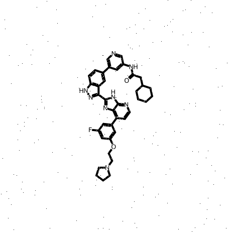 O=C(CC1CCCCC1)Nc1cncc(-c2ccc3[nH]nc(-c4nc5c(-c6cc(F)cc(OCCN7CCCC7)c6)ccnc5[nH]4)c3c2)c1